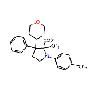 Cc1ccc(N2CCC(c3ccccc3)(C3CCOCC3)[C@@]2(C)C(=O)O)cc1